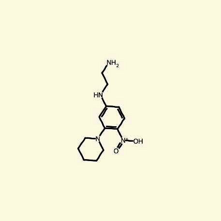 NCCNc1ccc([N+](=O)O)c(N2CCCCC2)c1